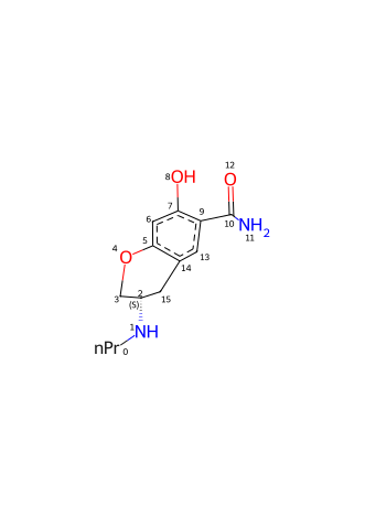 CCCN[C@@H]1COc2cc(O)c(C(N)=O)cc2C1